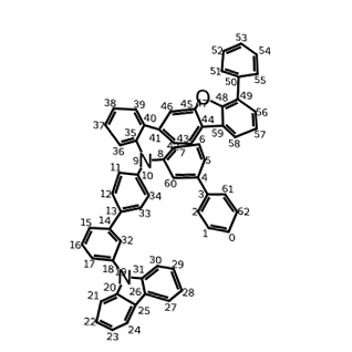 c1ccc(-c2cccc(N(c3ccc(-c4cccc(-n5c6ccccc6c6ccccc65)c4)cc3)c3ccccc3-c3ccc4c(c3)oc3c(-c5ccccc5)cccc34)c2)cc1